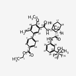 CCOC(=O)c1ccc(-c2cc(C(=O)N[C@@H]3[C@H]4CC[C@H](C4)[C@@H]3C(=O)Nc3cccc(S(C)(C)(F)(F)F)c3)c(OC)cc2P)cc1